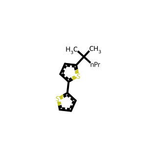 CCCC(C)(C)c1ccc(-c2cccs2)s1